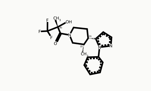 C[C@@H]1CN(C(=O)[C@@](C)(O)C(F)(F)F)CC[C@@H]1c1ccnn1-c1ccccc1